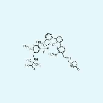 COc1nc(-c2cccc(-c3cccc4c3CC[C@@H]4Nc3nc(OC)c(CNC(C)(C)C(=O)O)cc3C(F)(F)F)c2Cl)ccc1CNC[C@@H]1CCC(=O)N1